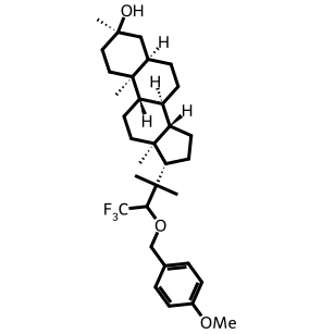 COc1ccc(COC(C(F)(F)F)C(C)(C)[C@H]2CC[C@H]3[C@@H]4CC[C@@H]5C[C@](C)(O)CC[C@]5(C)[C@H]4CC[C@]23C)cc1